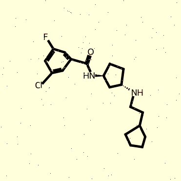 O=C(N[C@H]1CC[C@H](NCCC2CCCC2)C1)c1cc(F)cc(Cl)c1